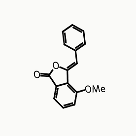 COc1cccc2c1/C(=C/c1ccccc1)OC2=O